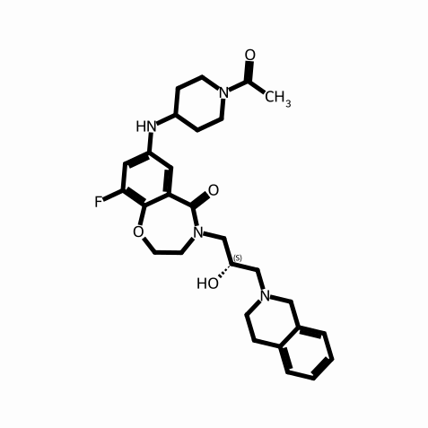 CC(=O)N1CCC(Nc2cc(F)c3c(c2)C(=O)N(C[C@@H](O)CN2CCc4ccccc4C2)CCO3)CC1